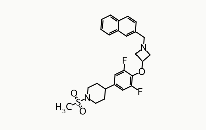 CS(=O)(=O)N1CCC(c2cc(F)c(OC3CN(Cc4ccc5ccccc5c4)C3)c(F)c2)CC1